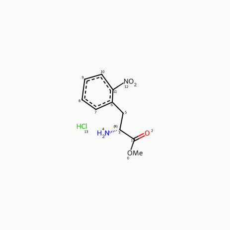 COC(=O)[C@H](N)Cc1ccccc1[N+](=O)[O-].Cl